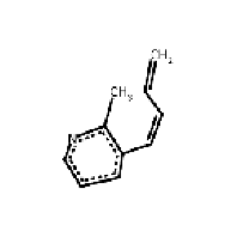 C=C/C=C\c1cccnc1C